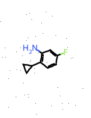 Nc1cc(F)ccc1C1CC1